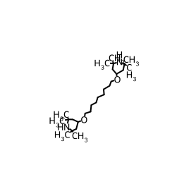 CC1(C)CC(OCCCCCCCCCOC2CC(C)(C)NC(C)(C)C2)CC(C)(C)N1